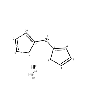 C1=CC[C]([Zr][C]2=CC=CC2)=C1.F.F